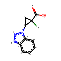 O=C(O)C1(F)CC1n1nnc2ccccc21